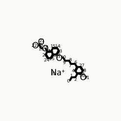 CCCc1cc(CCCCCOc2cccc3c(OCC(=O)[O-])cccc23)ccc1OC.[Na+]